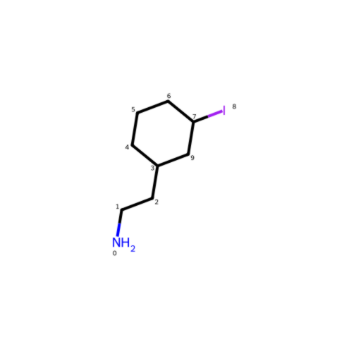 NCCC1CCCC(I)C1